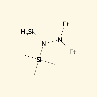 CCN(CC)N([SiH3])[Si](C)(C)C